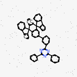 c1ccc(-c2nc(-c3ccccc3)nc(-c3cccc(-c4ccc5c(c4)C4(c6ccccc6-c6ccccc64)c4ccccc4C54c5ccccc5-c5ccccc54)c3)n2)cc1